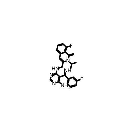 C=C1c2c(F)cccc2C=C(CNc2ncnc(N)c2C(=N)c2cccc(F)c2)N1C(C)C